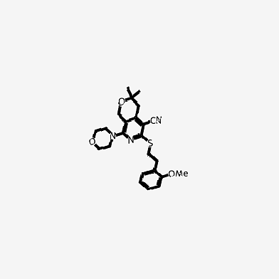 COc1ccccc1CCSc1nc(N2CCOCC2)c2c(c1C#N)CC(C)(C)OC2